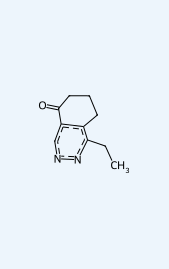 CCc1nncc2c1CCCC2=O